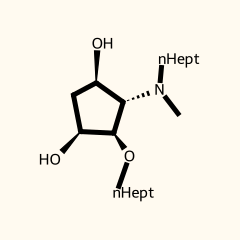 CCCCCCCO[C@@H]1[C@@H](N(C)CCCCCCC)[C@H](O)C[C@@H]1O